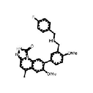 COc1ccc(-c2cc3c(cc2OC)c(C)cc2n[nH]c(=O)n23)cc1CNCc1ccc(F)cc1